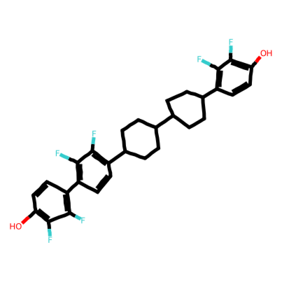 Oc1ccc(-c2ccc(C3CCC(C4CCC(c5ccc(O)c(F)c5F)CC4)CC3)c(F)c2F)c(F)c1F